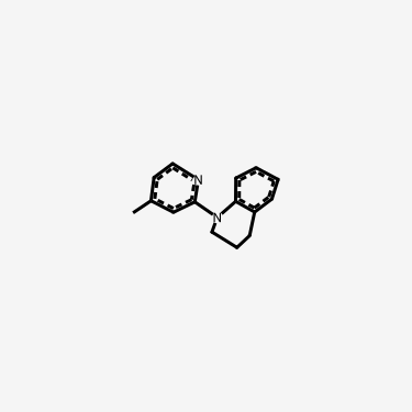 Cc1ccnc(N2CCCc3ccccc32)c1